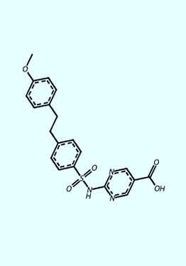 COc1ccc(CCc2ccc(S(=O)(=O)Nc3ncc(C(=O)O)cn3)cc2)cc1